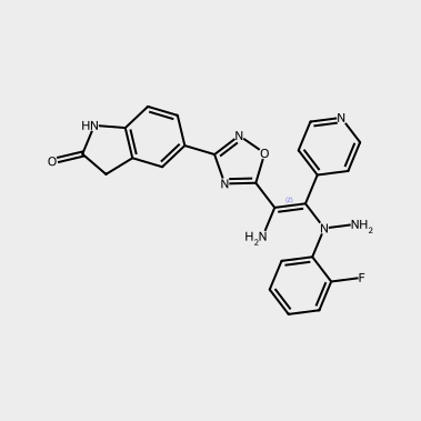 N/C(=C(/c1ccncc1)N(N)c1ccccc1F)c1nc(-c2ccc3c(c2)CC(=O)N3)no1